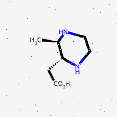 C[C@H]1NCCN[C@@H]1CC(=O)O